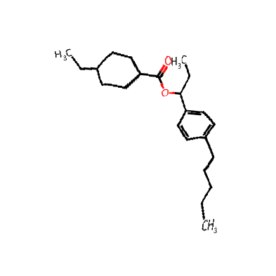 CCCCCc1ccc(C(CC)OC(=O)C2CCC(CC)CC2)cc1